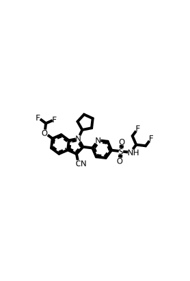 N#Cc1c(-c2ccc(S(=O)(=O)NC(CF)CF)cn2)n(C2CCCC2)c2cc(OC(F)F)ccc12